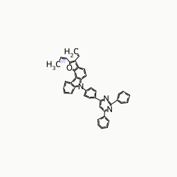 C=Cc1c(/C=C\C)oc2c1ccc1c2c2ccccc2n1-c1ccc(-c2cc(-c3ccccc3)nc(-c3ccccc3)n2)cc1